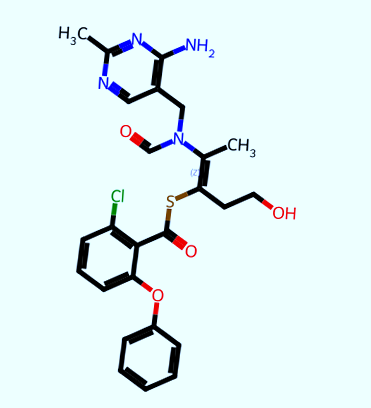 C/C(=C(\CCO)SC(=O)c1c(Cl)cccc1Oc1ccccc1)N(C=O)Cc1cnc(C)nc1N